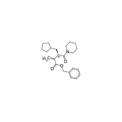 C=C(C(=O)OCc1ccccc1)[C@@H](CC1CCCC1)C(=O)N1CCCCC1